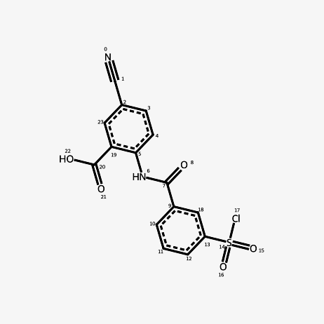 N#Cc1ccc(NC(=O)c2cccc(S(=O)(=O)Cl)c2)c(C(=O)O)c1